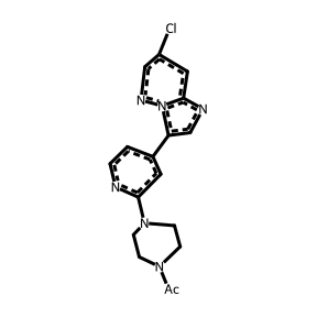 CC(=O)N1CCN(c2cc(-c3cnc4cc(Cl)cnn34)ccn2)CC1